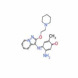 CC1=C/C(=N\c2c(OCCN3CCCCC3)nn3ccccc23)C(N)=CC1=O